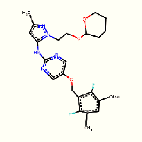 COc1cc(C)c(F)c(COc2cnc(Nc3cc(C)nn3CCOC3CCCCO3)nc2)c1F